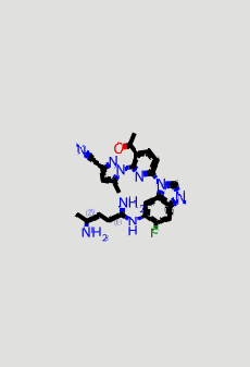 CC(=O)c1ccc(-n2cnc3cc(F)c(N/C(N)=C/C=C(/C)N)cc32)nc1-n1nc(C#N)cc1C